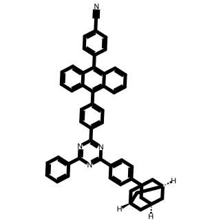 N#Cc1ccc(-c2c3ccccc3c(-c3ccc(-c4nc(-c5ccccc5)nc(-c5ccc(C67C[C@H]8C[C@H](C6)C[C@@H](C7)C8)cc5)n4)cc3)c3ccccc23)cc1